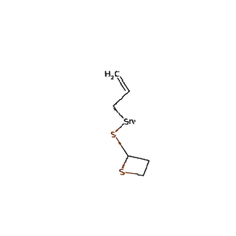 C=C[CH2][Sn][S]C1CCS1